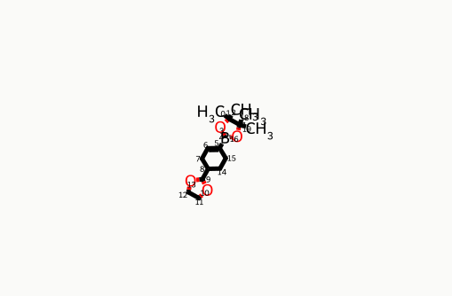 CC1(C)OB(C2=CCC(C3OCCO3)CC2)OC1(C)C